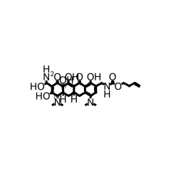 C=CCCOC(=O)NCc1cc(N(C)C)c2c(c1O)C(=O)C1=C(O)[C@]3(O)C(=O)C(C(N)O)=C(O)[C@@H](N(C)C)[C@@H]3C[C@@H]1C2